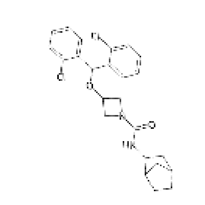 O=C(NC1CC2CCC1C2)N1CC(OC(c2ccccc2Cl)c2ccccc2Cl)C1